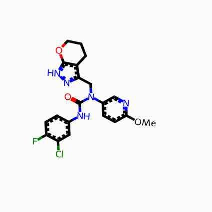 COc1ccc(N(Cc2n[nH]c3c2CCCO3)C(=O)Nc2ccc(F)c(Cl)c2)cn1